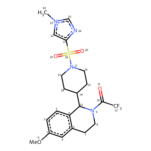 COc1ccc2c(c1)CCN(C(=O)C(F)(F)F)C2C1CCN(S(=O)(=O)c2cn(C)cn2)CC1